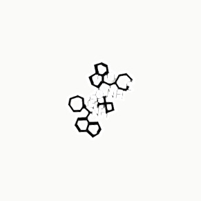 O=C(N[C@@H](c1cccc2ccccc12)C1(O)CCCCCC1)C1(C(=O)N[C@@H](c2cccc3ccccc23)C2(O)CCCCCC2)CCC1